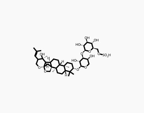 CC(C)=CC1CO[C@]23C[C@]4(CO2)[C@H](CC[C@@H]2[C@@]5(C)CC[C@H](O[C@@H]6OC[C@H](O)[C@H](O[C@@H]7O[C@H](COS(=O)(=O)O)[C@@H](O)[C@H](O)[C@H]7O)[C@H]6O)C(C)(C)[C@@H]5CC[C@]24C)[C@H]3[C@]1(C)O